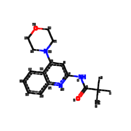 CCC(C)(C)C(=O)Nc1cc(N2CCOCC2)c2ccccc2n1